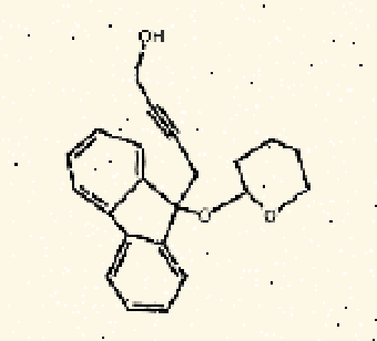 OCC#CCC1(OC2CCCCO2)c2ccccc2-c2ccccc21